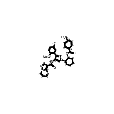 COc1ccc(Cl)cc1-c1nn([C@@H]2CCCC[C@@H]2OC(=O)c2ccc([N+](=O)[O-])cc2)cc1NC(=O)c1cnn2cccnc12